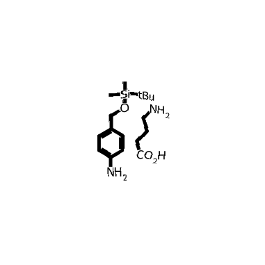 CC(C)(C)[Si](C)(C)OCc1ccc(N)cc1.NCCCC(=O)O